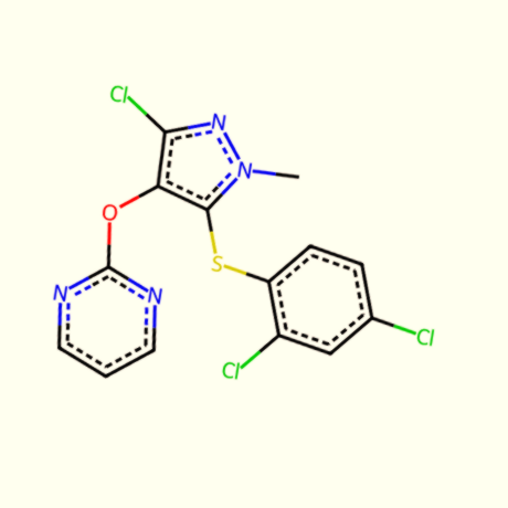 Cn1nc(Cl)c(Oc2ncccn2)c1Sc1ccc(Cl)cc1Cl